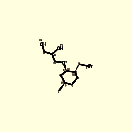 CC(C)C[C@@H]1CC[C@@H](C)C[C@H]1OCC(O)CO